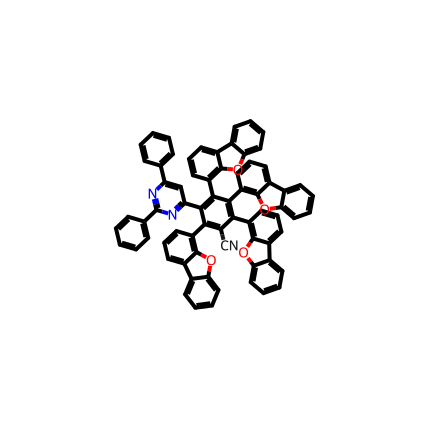 N#Cc1c(-c2cccc3c2oc2ccccc23)c(-c2cc(-c3ccccc3)nc(-c3ccccc3)n2)c(-c2cccc3c2oc2ccccc23)c(-c2cccc3c2oc2ccccc23)c1-c1cccc2c1oc1ccccc12